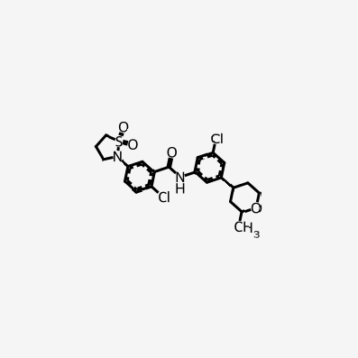 CC1CC(c2cc(Cl)cc(NC(=O)c3cc(N4CCCS4(=O)=O)ccc3Cl)c2)CCO1